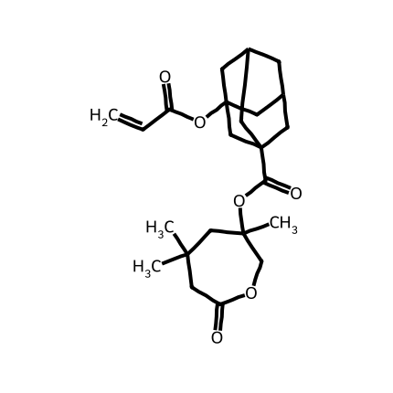 C=CC(=O)OC12CC3CC(C1)CC(C(=O)OC1(C)COC(=O)CC(C)(C)C1)(C3)C2